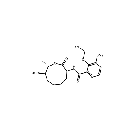 COc1ccnc(C(=O)N[C@H]2CCCC[C@@H](OCC(C)C)[C@H](C)OC2=O)c1OCOC(C)=O